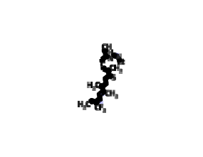 C#CC(C=C=CC(=C)C(=S)CCC(=C)/C(C)=C/C=C(\C=C)C(F)(F)F)N/C=N\CC